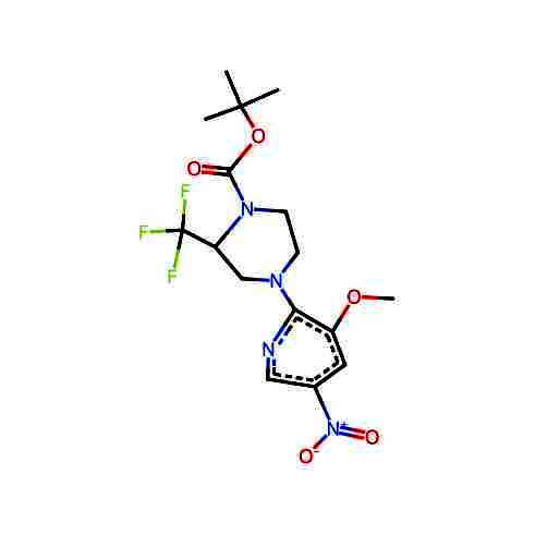 COc1cc([N+](=O)[O-])cnc1N1CCN(C(=O)OC(C)(C)C)C(C(F)(F)F)C1